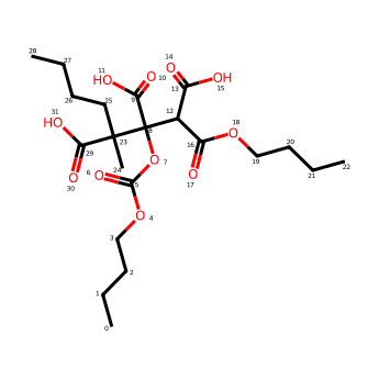 CCCCOC(=O)OC(C(=O)O)(C(C(=O)O)C(=O)OCCCC)C(C)(CCCC)C(=O)O